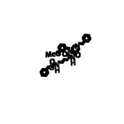 COc1cccc(CN2C(=O)[C@H](CCCCNC(=O)OCc3ccccc3)NC(=O)C23CCN(CCc2ccccc2)CC3)c1